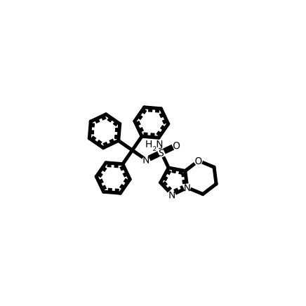 NS(=O)(=NC(c1ccccc1)(c1ccccc1)c1ccccc1)c1cnn2c1OCCC2